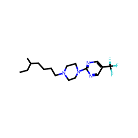 CCC(C)CCCCN1CCN(c2ncc(C(F)(F)F)cn2)CC1